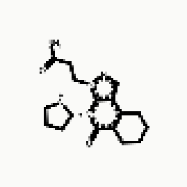 NC(=O)CCn1ncc2c3c(c(=O)n([C@@H]4CCCN4)c21)CCCC3